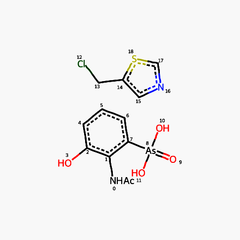 CC(=O)Nc1c(O)cccc1[As](=O)(O)O.ClCc1cncs1